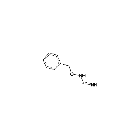 N=[C]NOCc1ccccc1